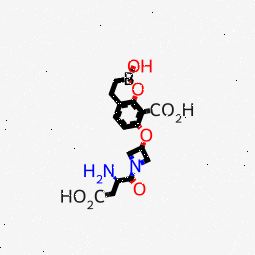 N[C@H](CC(=O)O)C(=O)N1CC(Oc2ccc3c(c2C(=O)O)OB(O)CC3)C1